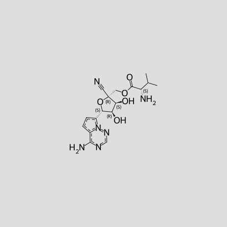 CC(C)[C@H](N)C(=O)OC[C@@]1(C#N)O[C@@H](c2ccc3c(N)ncnn23)[C@H](O)[C@@H]1O